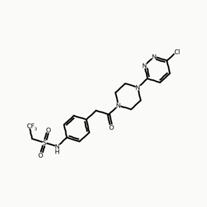 O=C(Cc1ccc(NS(=O)(=O)CC(F)(F)F)cc1)N1CCN(c2ccc(Cl)nn2)CC1